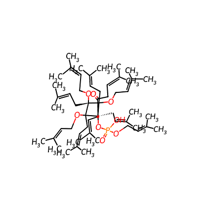 CC(C)=CCOC(CC=C(C)C)(CC=C(C)C)[C@@](CC=C(C)C)(OCC=C(C)C)C(CC=C(C)C)(OCC=C(C)C)[C@](CC=C(C)C)(OP(=O)(O)OCC=C(C)C)C(=O)CC=C(C)C